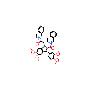 CCN(Cc1ccccc1)C(=O)CC1c2cc(OC)c(OC)cc2C(c2ccc(OC)c(OC)c2)C1C(=O)N(CC)Cc1ccccc1